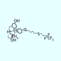 C[C@]12C[C@H](c3ccc(OCCCCCCSCCCC(F)(F)C(F)(F)F)cc3)[C@@H]3c4ccc(O)cc4CC[C@H]3[C@]13CC[C@]2(O)CC3